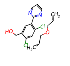 C=CCOCC=C.OCc1cc(-c2ncccn2)c(Cl)cc1Cl